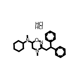 CN1CC(N(C)C2CCCCC2)ON=C1CC(c1ccccc1)c1ccccc1.Cl.Cl